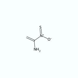 C=C(N)[N+]([O-])=S